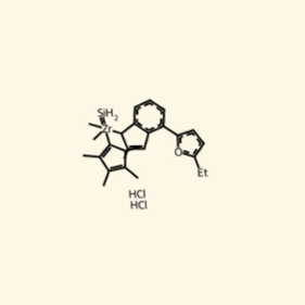 CCc1ccc(-c2cccc3c2C=C(C)[CH]3[Zr]([CH3])([CH3])(=[SiH2])[C]2=C(C)C(C)=C(C)C2C)o1.Cl.Cl